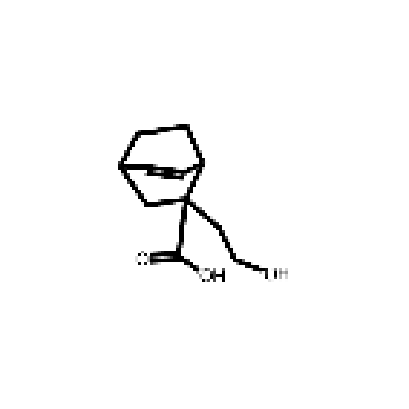 O=C(O)C1(CCO)CC2C=CC1CC2